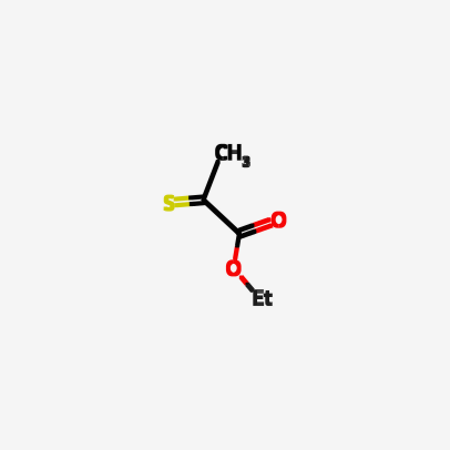 CCOC(=O)C(C)=S